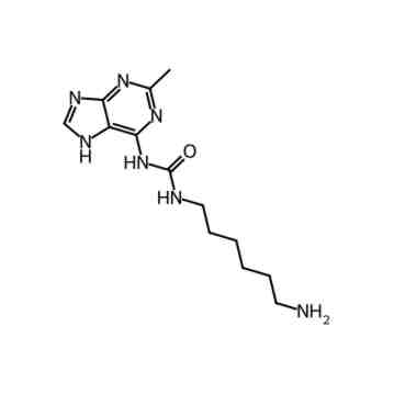 Cc1nc(NC(=O)NCCCCCCN)c2[nH]cnc2n1